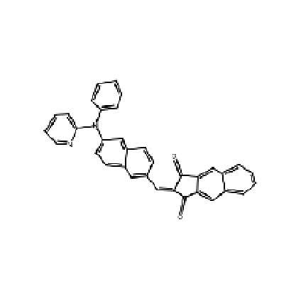 O=C1C(=Cc2ccc3cc(N(c4ccccc4)c4ccccn4)ccc3c2)C(=O)c2cc3ccccc3cc21